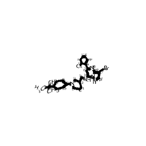 CC(C)(C)C1CCC(N2CCCC(CNc3cc(-c4ccccc4Cl)nc4c(Br)cnn34)C2)CC1